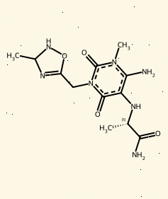 CC1N=C(Cn2c(=O)c(N[C@@H](C)C(N)=O)c(N)n(C)c2=O)ON1